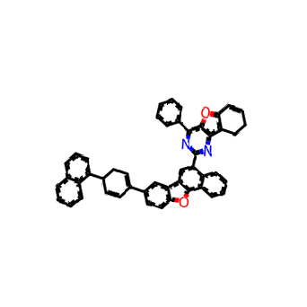 C1=Cc2oc3c(-c4ccccc4)nc(-c4cc5c6cc(C7=CCC(c8cccc9ccccc89)C=C7)ccc6oc5c5ccccc45)nc3c2CC1